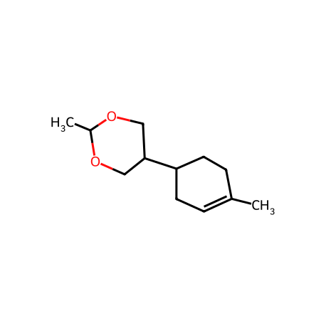 CC1=CCC(C2COC(C)OC2)CC1